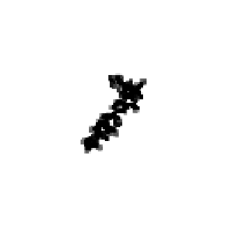 CC[C@H]1CN(C(=O)Nc2ccc(N3CCC3)nc2C)CCN1c1nc(N)nc2c(C)noc12